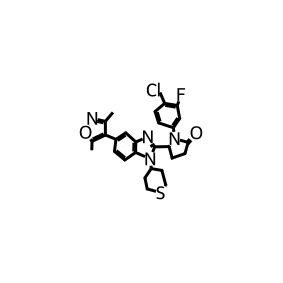 Cc1noc(C)c1-c1ccc2c(c1)nc(C1CCC(=O)N1c1ccc(Cl)c(F)c1)n2C1CCSCC1